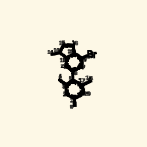 Cc1cc(C)c(-c2cc(Br)c3c(c2)C(C)C=C3)c(C)c1